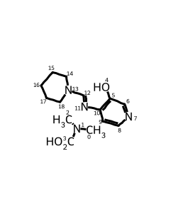 CN(C)C(=O)O.Oc1cnccc1/N=C/N1CCCCC1